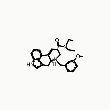 CCN(CC)C(=O)[C@@H]1C=C2c3cccc4[nH]cc(c34)C[C@H]2N(Cc2cccc(OC)c2)C1